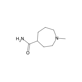 CN1CCCC(C(N)=O)CC1